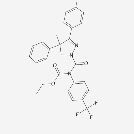 CCOC(=O)N(C(=O)N1CC(C)(c2ccccc2)C(c2ccc(Cl)cc2)=N1)c1ccc(C(F)(F)F)cc1